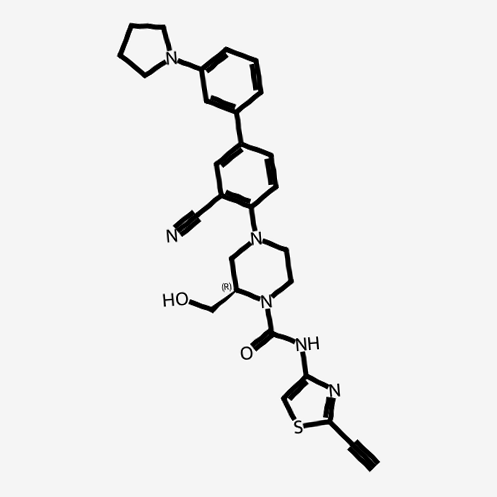 C#Cc1nc(NC(=O)N2CCN(c3ccc(-c4cccc(N5CCCC5)c4)cc3C#N)C[C@@H]2CO)cs1